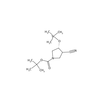 CC(C)(C)OC(=O)N1CC(C#N)[C@@H](O[Si](C)(C)C)C1